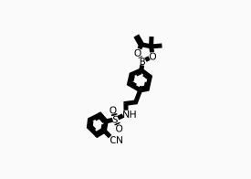 C=C1OB(c2ccc(CCNS(=O)(=O)c3ccccc3C#N)cc2)OC1(C)C